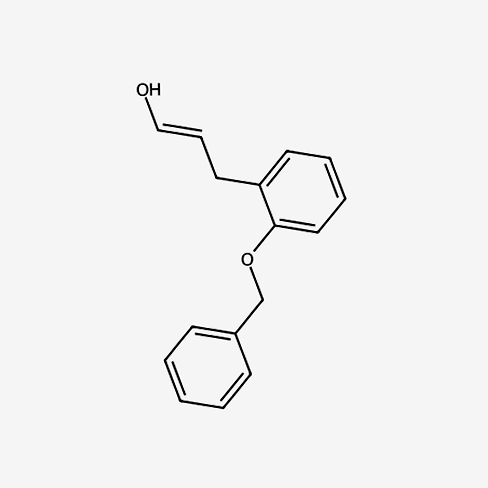 OC=CCc1ccccc1OCc1ccccc1